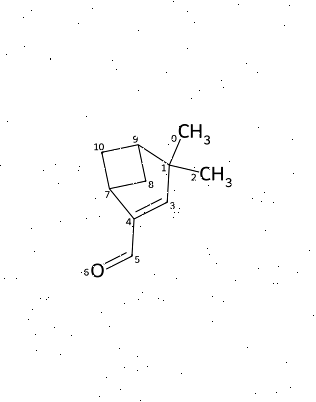 CC1(C)C=C(C=O)C2CC1C2